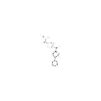 CC1C2CC(CN2C(=O)C(N)C(C)(C)C)N1C(=O)c1ccc(-c2ccccc2)cn1